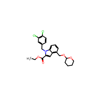 CCOC(=O)c1cc2c(COC3CCCCO3)cccc2n1Cc1ccc(Cl)c(Cl)c1